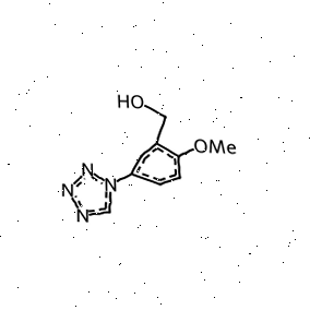 COc1ccc(-n2cnnn2)cc1CO